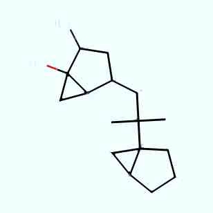 CC(C)(C)C1CC(CC(C)(C)C23CCCC2C3)C2CC21O